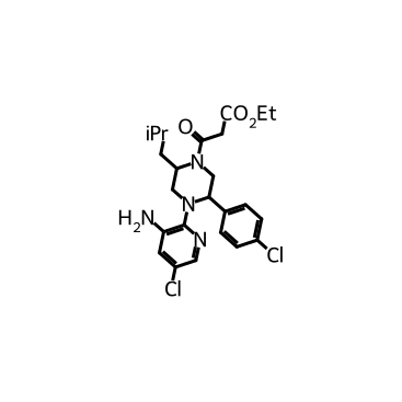 CCOC(=O)CC(=O)N1CC(c2ccc(Cl)cc2)N(c2ncc(Cl)cc2N)CC1CC(C)C